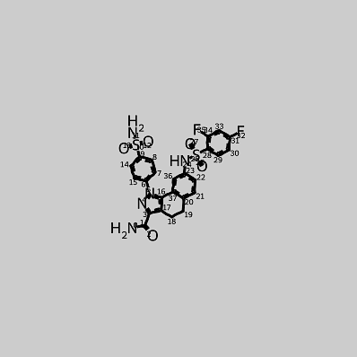 NC(=O)c1nn(-c2ccc(S(N)(=O)=O)cc2)c2c1CCc1ccc(NS(=O)(=O)c3ccc(F)cc3F)cc1-2